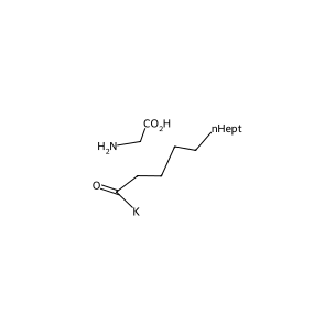 CCCCCCCCCCC[C](=O)[K].NCC(=O)O